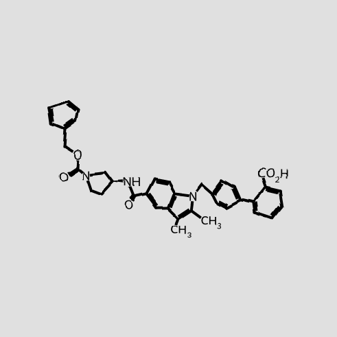 Cc1c(C)n(Cc2ccc(-c3ccccc3C(=O)O)cc2)c2ccc(C(=O)N[C@H]3CCN(C(=O)OCc4ccccc4)C3)cc12